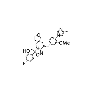 COc1cc(/C=C2\CC3(CCOC3)CN3C2=NOC3(CO)c2ccc(F)cc2)ccc1-n1cnc(C)c1